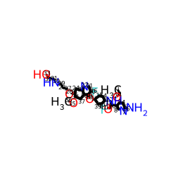 CCOc1cc(N)ncc1C(=O)Nc1cc(F)c(Oc2ccnc3cc(OCCCNCCO)c(OC)cc23)cc1F